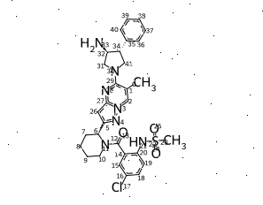 Cc1cn2nc([C@@H]3CCCCN3C(=O)c3cc(Cl)ccc3NS(C)(=O)=O)cc2nc1N1C[C@@H](N)[C@H](c2ccccc2)C1